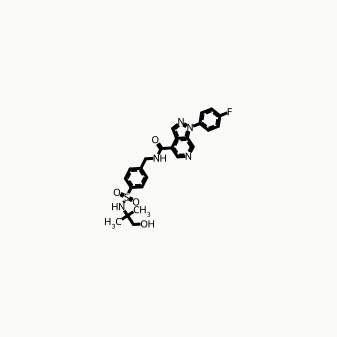 CC(C)(CO)NS(=O)(=O)c1ccc(CNC(=O)c2cncc3c2cnn3-c2ccc(F)cc2)cc1